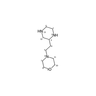 C1CNC(CCN2CCOCC2)CN1